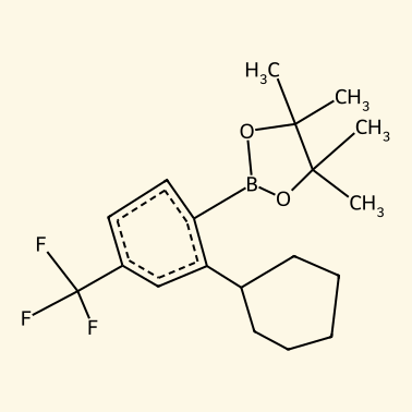 CC1(C)OB(c2ccc(C(F)(F)F)cc2C2CCCCC2)OC1(C)C